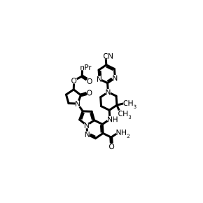 CCCC(=O)OC1CCN(c2cc3c(NC4CCN(c5ncc(C#N)cn5)CC4(C)C)c(C(N)=O)cnn3c2)C1=O